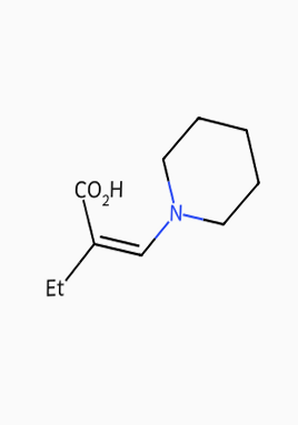 CCC(=CN1CCCCC1)C(=O)O